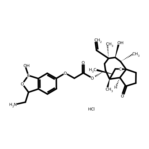 C=C[C@]1(C)C[C@@H](OC(=O)COc2ccc3c(c2)B(O)OC3CN)[C@]2(C)[C@H](C)CC[C@]3(CCC(=O)[C@H]32)[C@@H](C)[C@@H]1O.Cl